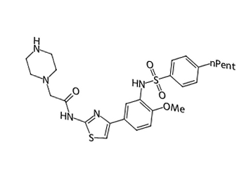 CCCCCc1ccc(S(=O)(=O)Nc2cc(-c3csc(NC(=O)CN4CCNCC4)n3)ccc2OC)cc1